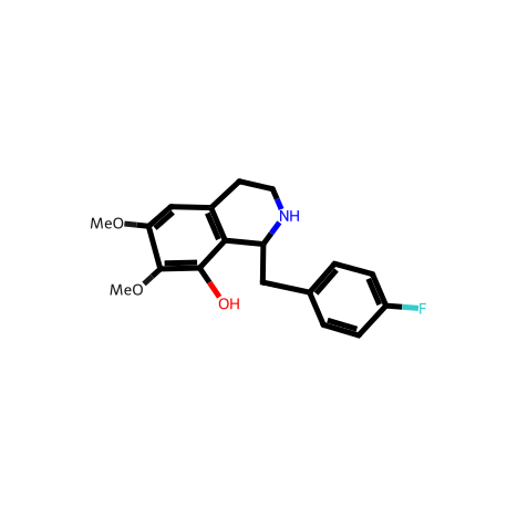 COc1cc2c(c(O)c1OC)C(Cc1ccc(F)cc1)NCC2